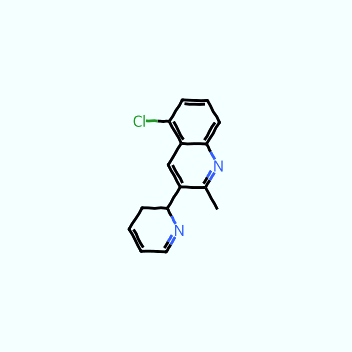 Cc1nc2cccc(Cl)c2cc1C1CC=CC=N1